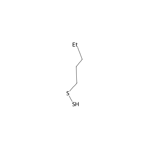 CCCCCSS